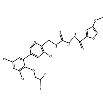 COc1cc(C(=O)NNC(=O)NCc2ncc(-c3cc(Cl)cc(Cl)c3OCC(F)F)cc2Cl)on1